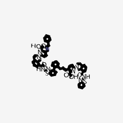 O=C(Nc1nc2ccccc2s1)c1cccc2c1CN(c1ccc(CCCc3ccccc3-c3cccc4sc(NC(=O)c5cccc6c5CN(c5ccc(/C=C/Cc7ccccc7)c(C(=O)O)n5)CC6)nc34)c(C(=O)O)n1)CC2